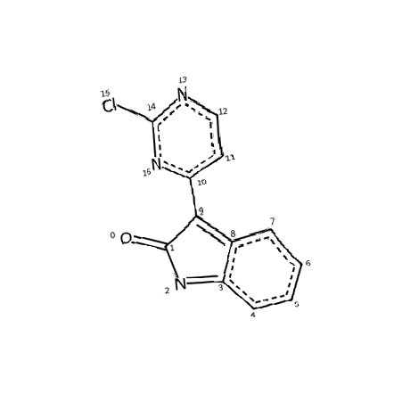 O=C1N=c2ccccc2=C1c1ccnc(Cl)n1